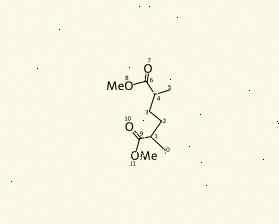 [CH2]C(CCC(C)C(=O)OC)C(=O)OC